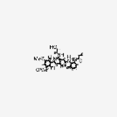 C=CC(=O)Nc1cccc(C)c1Nc1cc2c(NCCO)nc(-c3c(Cl)c(OC)cc(OC)c3Cl)cc2cn1